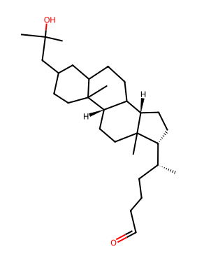 C[C@H](CCCC=O)[C@H]1CC[C@H]2C3CCC4CC(CC(C)(C)O)CCC4(C)[C@H]3CCC12C